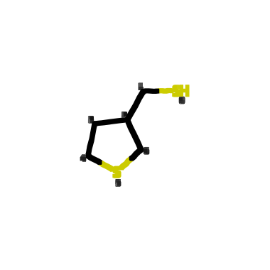 SCC1CCSC1